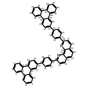 c1ccc2c(c1)c1ccccc1c1cc(-c3ccc(-c4ccc5ccc6ccc(-c7ccc(-c8ccc9c%10ccccc%10c%10ccccc%10c9c8)cc7)nc6c5n4)cc3)ccc21